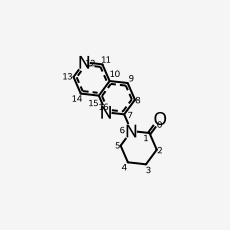 O=C1CCCCN1c1ccc2cnccc2n1